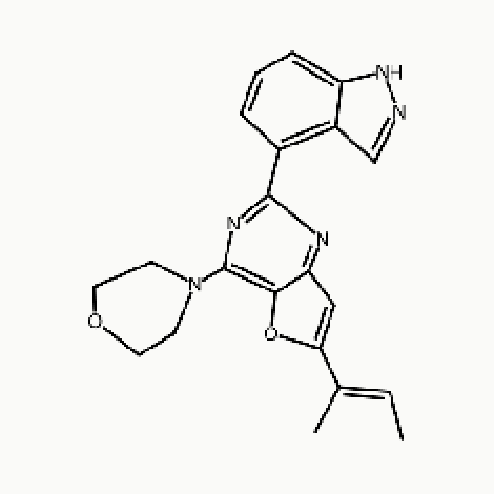 C/C=C(\C)c1cc2nc(-c3cccc4[nH]ncc34)nc(N3CCOCC3)c2o1